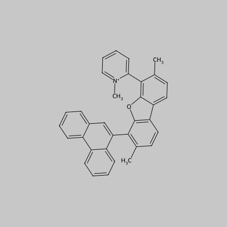 Cc1ccc2c(oc3c(-c4cccc[n+]4C)c(C)ccc32)c1-c1cc2ccccc2c2ccccc12